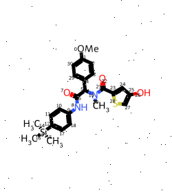 COc1ccc(C(C(=O)Nc2ccc([Si](C)(C)C)cc2)N(C)C(=O)c2cc(O)cs2)cc1